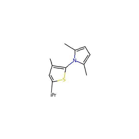 Cc1cc(C(C)C)sc1-n1c(C)ccc1C